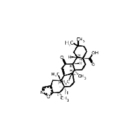 C[C@@H]1c2oncc2C[C@]2(C)C3=CC(=O)[C@@H]4[C@@H]5CC(C)(C)CC[C@]5(C(=O)O)CC[C@@]4(C)[C@]3(C)CC[C@@H]12